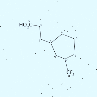 O=C(O)CCC1CCCC(C(F)(F)F)C1